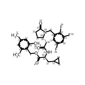 Cc1cc(C)c(COC(=O)[C@H](CC2CC2)NC(=O)C[C@@H]2CCC(=O)N2Cc2cc(F)cc(F)c2F)c(C)c1